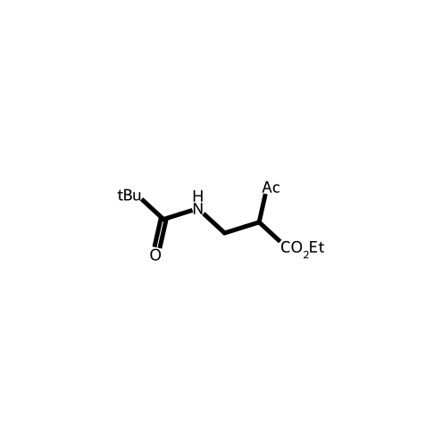 CCOC(=O)C(CNC(=O)C(C)(C)C)C(C)=O